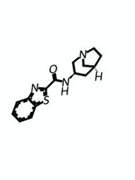 O=C(N[C@@H]1C[C@@H]2CCN(C2)C1)c1nc2ccccc2s1